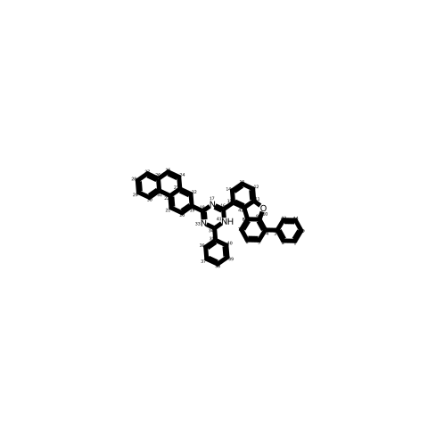 c1ccc(-c2cccc3c2oc2cccc(C4=NC(c5ccc6c(ccc7ccccc76)c5)=NC(c5ccccc5)N4)c23)cc1